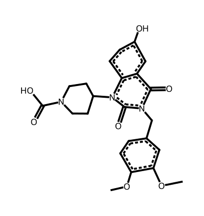 COc1ccc(Cn2c(=O)c3cc(O)ccc3n(C3CCN(C(=O)O)CC3)c2=O)cc1OC